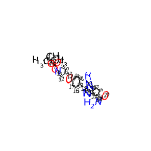 CC(C)(C)OC(=O)ON1CCC(COc2ccc(-c3nc4cc(C(N)=O)ccc4[nH]3)cc2)CC1